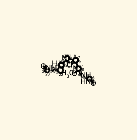 COc1nc(-c2cccc(-c3ccnc(-c4ccc5c(c4)CCC[C@@H]5NC[C@H]4CCC(=O)N4)c3Cl)c2Cl)ccc1CNC[C@@H]1CCC(=O)N1